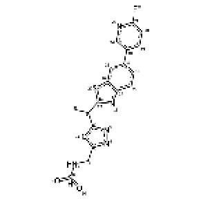 CC(c1nnc(CN[SH](=O)=O)o1)c1nc2ccc(-c3ccc(F)nc3)cc2s1